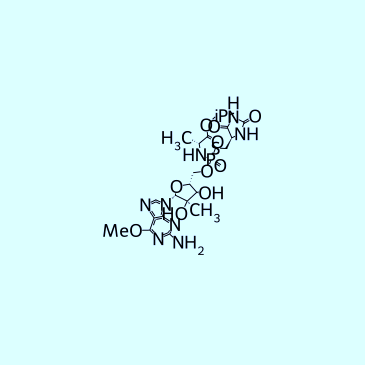 COc1nc(N)nc2c1ncn2[C@@H]1O[C@H](COP(=O)(N[C@H](C)C(=O)OC(C)C)SC[C@@H]2NC(=O)NC2=O)[C@@H](O)[C@@]1(C)O